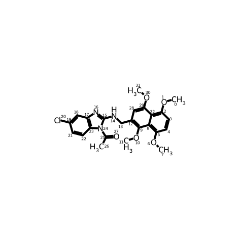 COc1ccc(OC)c2c(OC)c(CNc3nc4cc(Cl)ccc4n3C(C)=O)cc(OC)c12